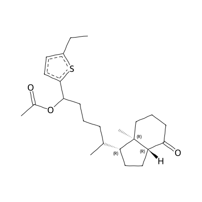 CCc1ccc(C(CCCC(C)[C@H]2CC[C@H]3C(=O)CCC[C@]23C)OC(C)=O)s1